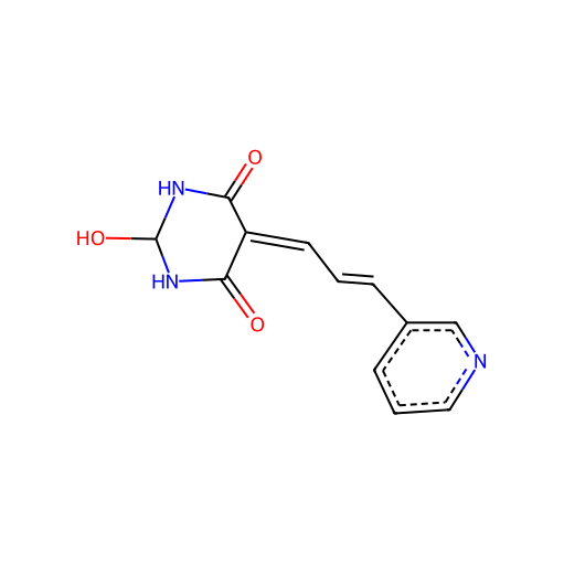 O=C1NC(O)NC(=O)C1=C/C=C/c1cccnc1